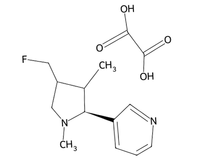 CC1C(CF)CN(C)[C@@H]1c1cccnc1.O=C(O)C(=O)O